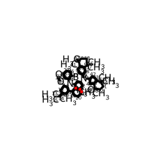 Cc1cc2c3c(c1)N(c1ccc(C(C)(C)C)cc1-c1ccccc1)c1c(ccc4c1OCO4)B3c1cc3c(cc1N2c1ccc2c(c1)C(C)(C)CCC2(C)C)C(C)(C)CCC3(C)C